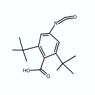 CC(C)(C)c1cc(N=C=O)cc(C(C)(C)C)c1C(=O)O